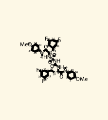 COc1ccc(N(C)C(=O)[C@H](CCc2cc(F)cc(F)c2)NC(=O)NS(=O)(=O)N[C@@H](Cc2cc(F)cc(F)c2)C(=O)N(C)c2ccc(OC)cc2)cc1